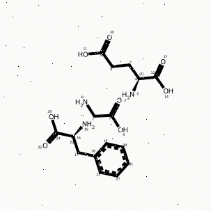 NCC(=O)O.N[C@@H](CCC(=O)O)C(=O)O.N[C@@H](Cc1ccccc1)C(=O)O